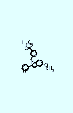 COC(=O)c1cccc(Cn2c(-c3cccnc3)cc3cc(OC)ccc32)c1